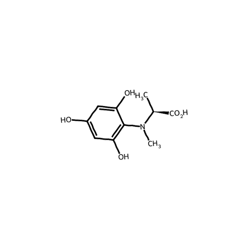 C[C@@H](C(=O)O)N(C)c1c(O)cc(O)cc1O